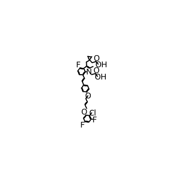 Cc1c(CC2(CC(=O)O)CC2)c2c(F)ccc(C=Cc3ccc(OCC=CCOc4cc(F)cc(F)c4Cl)cc3)c2n1CC(=O)O